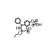 CCCC[C@@]1(CC)CS(=O)(=O)c2cc(OS(=O)(=O)O)ccc2[C@H](c2ccccc2)N1